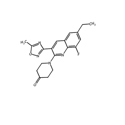 CCc1cc(F)c2nc(N3CCC(=O)CC3)c(-c3noc(C)n3)cc2c1